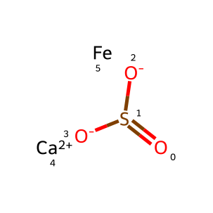 O=S([O-])[O-].[Ca+2].[Fe]